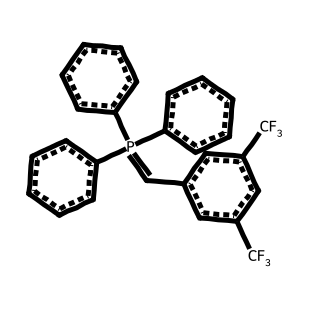 FC(F)(F)c1cc(C=P(c2ccccc2)(c2ccccc2)c2ccccc2)cc(C(F)(F)F)c1